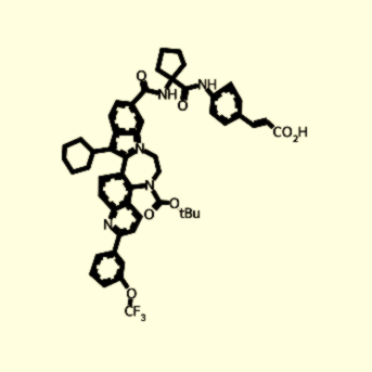 CC(C)(C)OC(=O)N1CCn2c(c(C3CCCCC3)c3ccc(C(=O)NC4(C(=O)Nc5ccc(/C=C/C(=O)O)cc5)CCCC4)cc32)-c2ccc3nc(-c4cccc(OC(F)(F)F)c4)ccc3c21